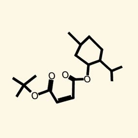 CC1CCC(C(C)C)C(OC(=O)/C=C\C(=O)OC(C)(C)C)C1